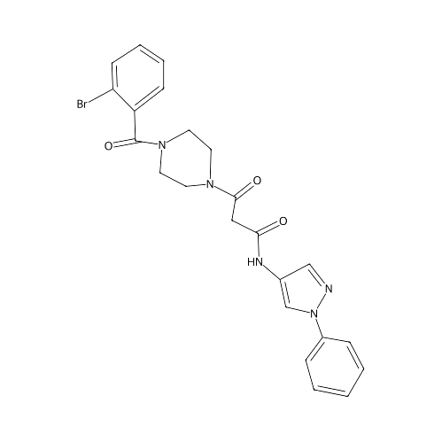 O=C(CC(=O)N1CCN(C(=O)c2ccccc2Br)CC1)Nc1cnn(-c2ccccc2)c1